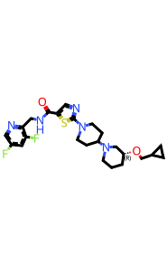 O=C(NCc1ncc(F)cc1F)c1cnc(N2CCC(N3CCC[C@@H](OCC4CC4)C3)CC2)s1